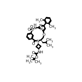 Cc1cccc(C)c1-c1cc2nc(n1)NS(=O)(=O)c1cccc(c1)C(=O)N([C@H]1C[C@@H](NC(=O)OC(C)(C)C)C1)[C@H](CC(C)C)CO2